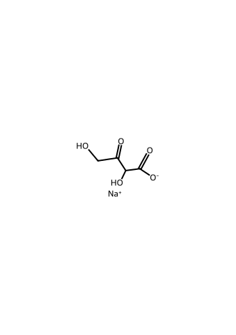 O=C([O-])C(O)C(=O)CO.[Na+]